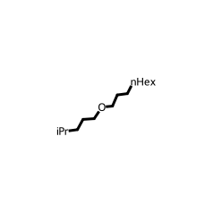 CCCCCCCCCOCCCC(C)C